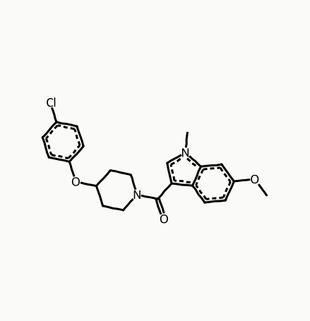 COc1ccc2c(C(=O)N3CCC(Oc4ccc(Cl)cc4)CC3)cn(C)c2c1